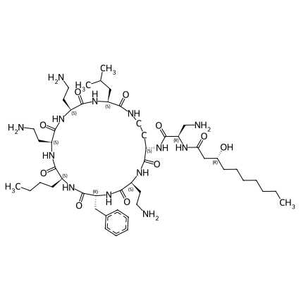 CCCCCCC[C@@H](O)CC(=O)N[C@H](CN)C(=O)N[C@H]1CCNC(=O)[C@H](CC(C)C)NC(=O)[C@H](CCN)NC(=O)[C@H](CCN)NC(=O)[C@H](CCCC)NC(=O)[C@@H](Cc2ccccc2)NC(=O)[C@H](CCN)NC1=O